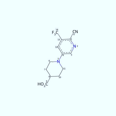 N#Cc1ncc(N2CCC(C(=O)O)CC2)cc1C(F)(F)F